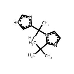 CC(C)(C)c1nccn1C(C)(C)c1c[nH]cn1